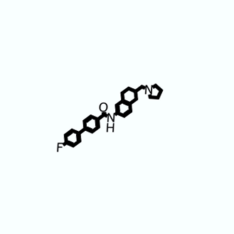 O=C(Nc1ccc2c(c1)CCC(CN1CCCC1)C2)c1ccc(-c2ccc(F)cc2)cc1